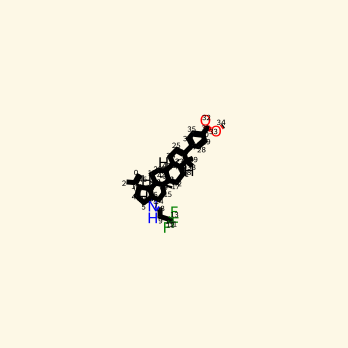 C=C(C)[C@@H]1CC[C@]2(NCCC(F)(F)F)CC[C@]3(C)[C@H](CC[C@@H]4[C@@]5(C)CC=C(c6ccc(C(=O)OC)cc6)C(C)(C)[C@@H]5CC[C@]43C)[C@@H]12